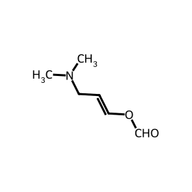 CN(C)C/C=C/OC=O